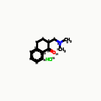 CN(C)CC1CCc2ccccc2C1=O.Cl